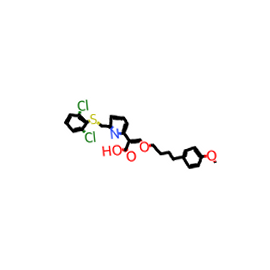 COc1ccc(CCCCOC=C(C(=O)O)c2cccc(CSc3c(Cl)cccc3Cl)n2)cc1